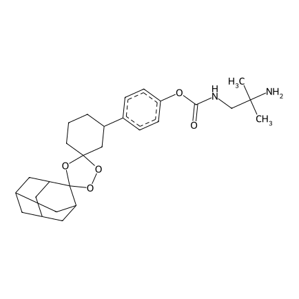 CC(C)(N)CNC(=O)Oc1ccc(C2CCCC3(C2)OOC2(O3)C3CC4CC(C3)CC2C4)cc1